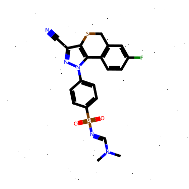 CN(C)C=NS(=O)(=O)c1ccc(-n2nc(C#N)c3c2-c2ccc(F)cc2CS3)cc1